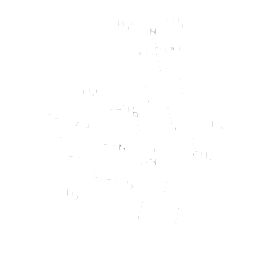 CC(C)Oc1ccc(S(=O)(=O)N(C)C)cc1C=C1CN(CC2CCCCC2)CN1c1c(C(C)C)cccc1C(C)C.[Ru]